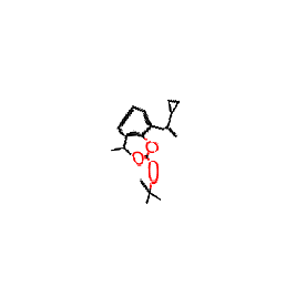 CC(C)c1cccc(C(C)C2CC2)c1OC(=O)OC(C)(C)C